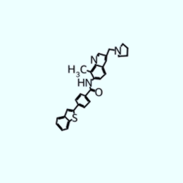 Cc1c(NC(=O)c2ccc(-c3cc4ccccc4s3)cc2)ccc2cc(CN3CCCC3)cnc12